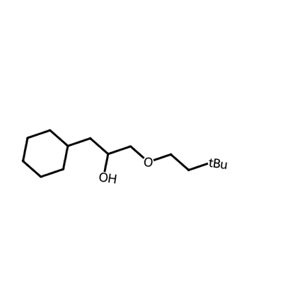 CC(C)(C)CCOCC(O)CC1CCCCC1